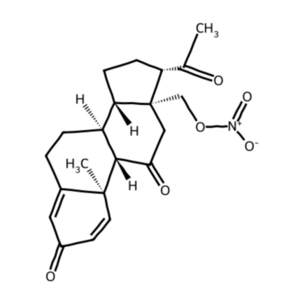 CC(=O)[C@H]1CC[C@H]2[C@@H]3CCC4=CC(=O)C=C[C@]4(C)[C@H]3C(=O)C[C@]12CO[N+](=O)[O-]